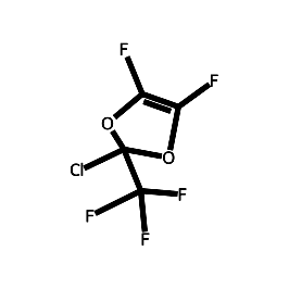 FC1=C(F)OC(Cl)(C(F)(F)F)O1